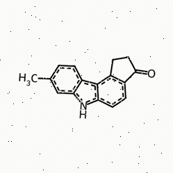 Cc1ccc2c(c1)[nH]c1ccc3c(c12)CCC3=O